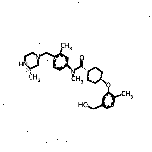 Cc1cc(N(C)C(=O)[C@H]2CC[C@H](Oc3cc(CO)ccc3C)CC2)ccc1CN1CCN[C@@H](C)C1